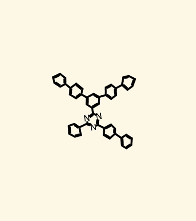 c1ccc(-c2ccc(-c3cc(-c4ccc(-c5ccccc5)cc4)cc(-c4nc(-c5ccccc5)nc(-c5ccc(-c6ccccc6)cc5)n4)c3)cc2)cc1